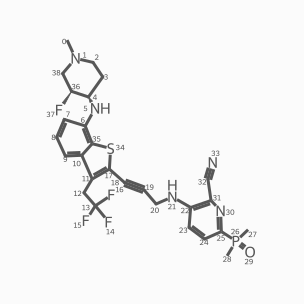 CN1CC[C@@H](Nc2cccc3c(CC(F)(F)F)c(C#CCNc4ccc(P(C)(C)=O)nc4C#N)sc23)[C@@H](F)C1